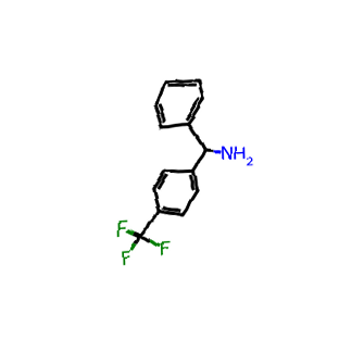 NC(c1ccccc1)c1ccc(C(F)(F)F)cc1